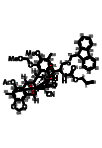 C=CCOC(=O)NC(CSCC1c2ccccc2-c2ccccc21)C(=O)N[C@H]1CS[C@@H]2c3c(OC(C)=O)c(C)c4c(c3[C@H](COC1=O)N1C2[C@H]2N[C@@H](Cc3cc(C)c(OC)c(OCOC)c32)[C@@H]1C#N)OCO4